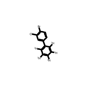 [2H]c1c([2H])c([2H])c(-c2ccc(Br)c(Cl)c2)c([2H])c1[2H]